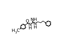 Cc1ccc(C(=O)NC(=N)NCCCc2ccccc2)cc1